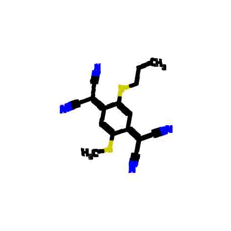 CCCSc1cc(=C(C#N)C#N)c(SC)cc1=C(C#N)C#N